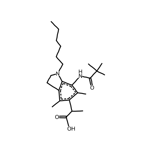 CCCCCCN1CCc2c(C)c(C(C)C(=O)O)c(C)c(NC(=O)C(C)(C)C)c21